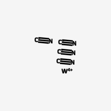 [C-]#N.[C-]#N.[C-]#N.[C-]#N.[W+4]